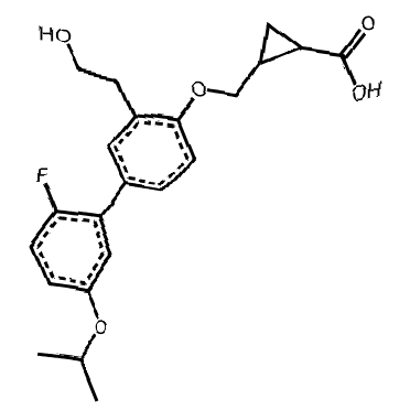 CC(C)Oc1ccc(F)c(-c2ccc(OCC3CC3C(=O)O)c(CCO)c2)c1